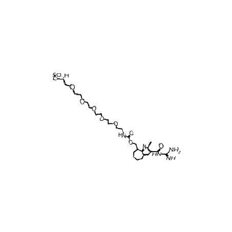 Cc1nc2c(cc1C(=O)NC(=N)N)CCCCC2COC(=O)NCCOCCOCCOCCOCCOCCOS(=O)(=O)O